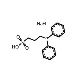 O=S(=O)(O)CCCP(c1ccccc1)c1ccccc1.[NaH]